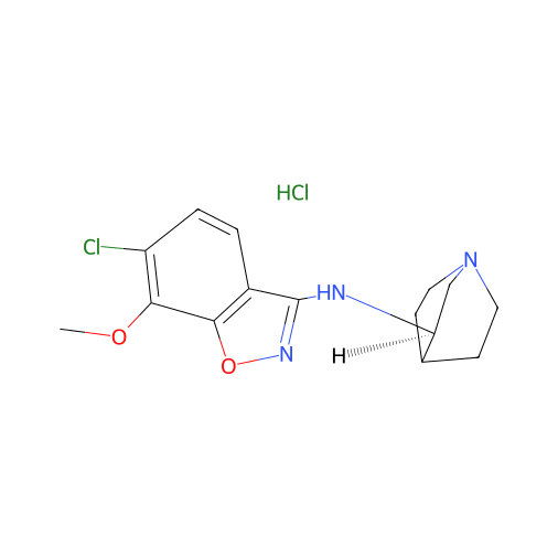 COc1c(Cl)ccc2c(N[C@H]3CN4CCC3CC4)noc12.Cl